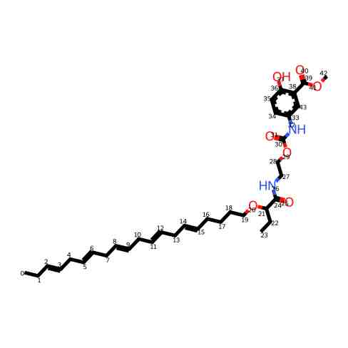 CCC=CCC=CCC=CCC=CCC=CCCCCOC(CC)C(=O)NCCOC(=O)Nc1ccc(O)c(C(=O)OC)c1